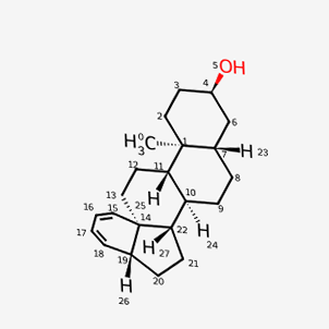 C[C@]12CC[C@@H](O)C[C@@H]1CC[C@@H]1[C@@H]2CC[C@@]23C=CC=C[C@H]2CC[C@@H]13